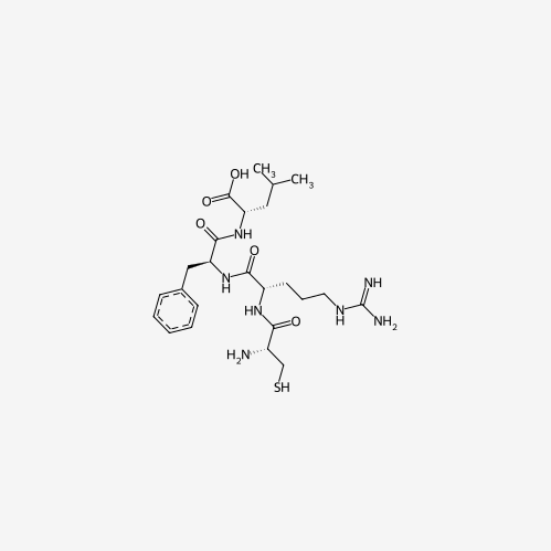 CC(C)C[C@H](NC(=O)[C@H](Cc1ccccc1)NC(=O)[C@H](CCCNC(=N)N)NC(=O)[C@@H](N)CS)C(=O)O